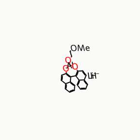 COCC[O][Al]1[O]c2ccc3ccccc3c2-c2c(ccc3ccccc23)[O]1.[H-].[Li+]